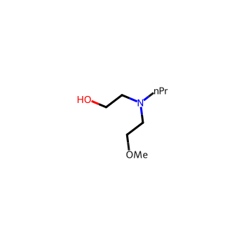 CCCN(CCO)CCOC